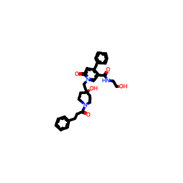 O=C(NCCO)c1cn(CC2(O)CCN(C(=O)CCc3ccccc3)CC2)c(=O)cc1-c1ccccc1